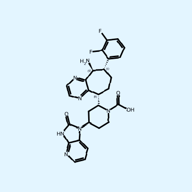 N[C@@H]1c2nccnc2[C@@H](C2CC(n3c(=O)[nH]c4ncccc43)CCN2C(=O)O)CC[C@H]1c1cccc(F)c1F